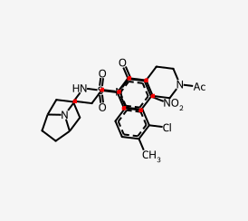 CC(=O)N1CCC(C(=O)N(CCCN2C3CCC2CC(NS(=O)(=O)c2ccc([N+](=O)[O-])cc2)C3)c2ccc(C)c(Cl)c2)CC1